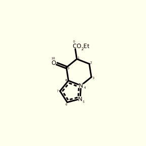 CCOC(=O)C1CCn2nccc2C1=O